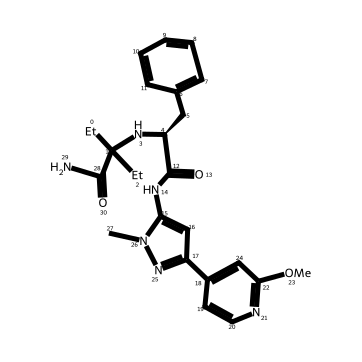 CCC(CC)(N[C@@H](Cc1ccccc1)C(=O)Nc1cc(-c2ccnc(OC)c2)nn1C)C(N)=O